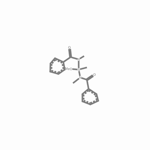 CO[Si](C)(N(C)C(=O)c1ccccc1)N(C)C(=O)c1ccccc1